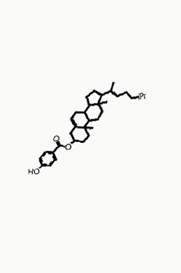 CC(C)CCCC(C)C1CCC2C3CC=C4CC(OC(=O)c5ccc(O)cc5)CCC4(C)C3CCC12C